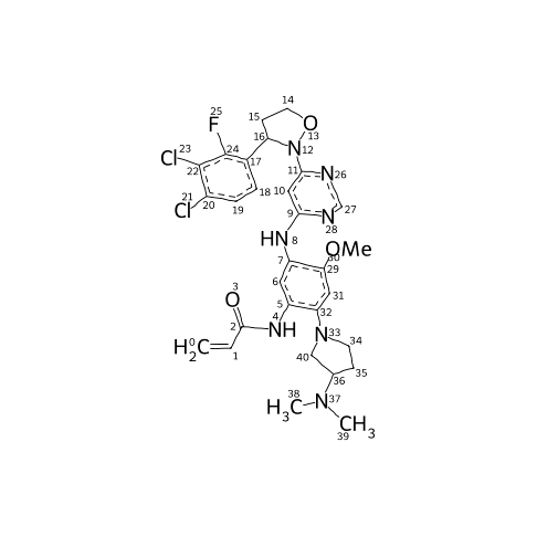 C=CC(=O)Nc1cc(Nc2cc(N3OCCC3c3ccc(Cl)c(Cl)c3F)ncn2)c(OC)cc1N1CCC(N(C)C)C1